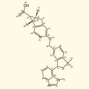 Cn1cnc2cccc(C3CC(C)(C)c4ccc(COc5cc6c(cn5)[C@@H]5C(C(=O)O)[C@@H]5C6)cc43)c21